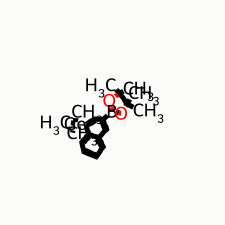 CC1(C)OB(c2c[c]([Ge]([CH3])([CH3])[CH3])c3ccccc3c2)OC1(C)C